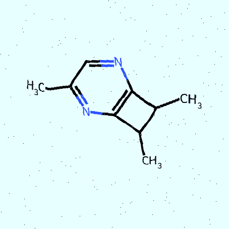 Cc1cnc2c(n1)C(C)C2C